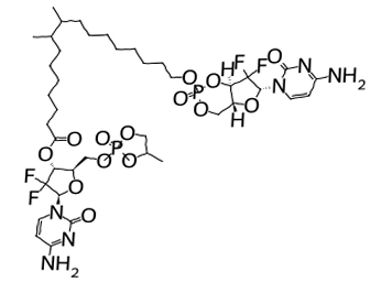 CC1COP(=O)(OC[C@H]2O[C@@H](n3ccc(N)nc3=O)C(F)(F)[C@@H]2OC(=O)CCCCCCC(C)C(C)CCCCCCCCOP2(=O)OC[C@H]3O[C@@H](n4ccc(N)nc4=O)C(F)(F)[C@@H]3O2)O1